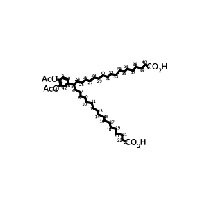 CC(=O)Oc1ccc(C(CCCCCCCCCCCCCCCCCC(=O)O)CCCCCCCCCCCCCCCCCC(=O)O)cc1OC(C)=O